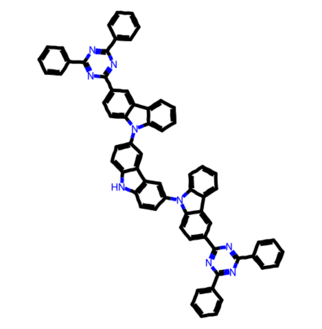 c1ccc(-c2nc(-c3ccccc3)nc(-c3ccc4c(c3)c3ccccc3n4-c3ccc4[nH]c5ccc(-n6c7ccccc7c7cc(-c8nc(-c9ccccc9)nc(-c9ccccc9)n8)ccc76)cc5c4c3)n2)cc1